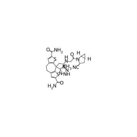 C[C@@H](CC1(c2nn[nH]n2)c2sc(C(N)=O)cc2CCc2cc(C(N)=O)sc21)NCC(=O)N1[C@H](C#N)C[C@@H]2C[C@@H]21